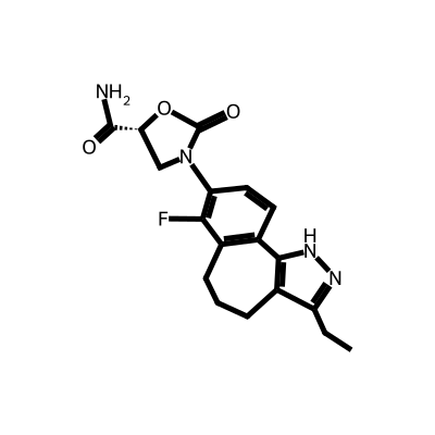 CCc1n[nH]c2c1CCCc1c-2ccc(N2C[C@H](C(N)=O)OC2=O)c1F